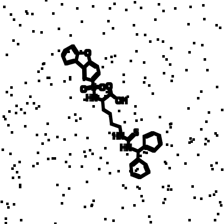 O=C(O)C(CCCCNC(=S)NC(c1ccccc1)c1ccccc1)NS(=O)(=O)c1ccc2oc3ccccc3c2c1